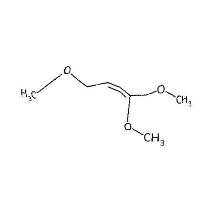 COCC=C(OC)OC